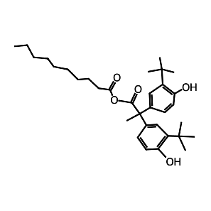 CCCCCCCCCC(=O)OC(=O)C(C)(c1ccc(O)c(C(C)(C)C)c1)c1ccc(O)c(C(C)(C)C)c1